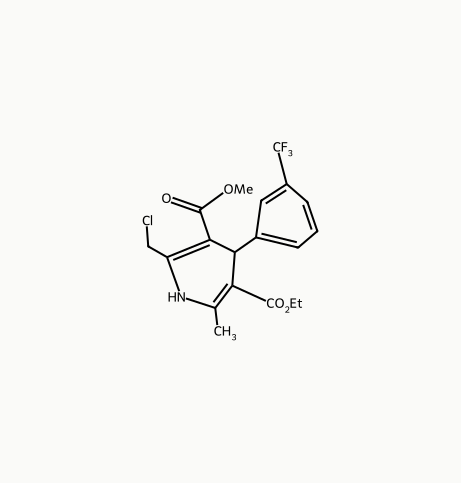 CCOC(=O)C1=C(C)NC(CCl)=C(C(=O)OC)C1c1cccc(C(F)(F)F)c1